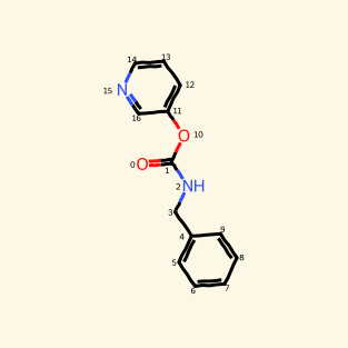 O=C(NCc1ccccc1)Oc1cccnc1